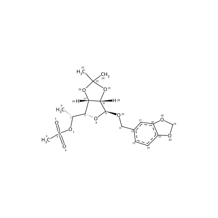 C[C@@H](OS(C)(=O)=O)[C@H]1O[C@H](OCc2ccc3c(c2)OCO3)[C@H]2OC(C)(C)O[C@H]21